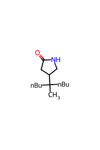 CCCCC(C)(CCCC)C1CNC(=O)C1